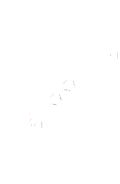 CCCCCC1CCC(c2ccc(-c3ccc(C4CCC(C)(C(=O)OCCCC)CC4)cc3)cc2)CC1